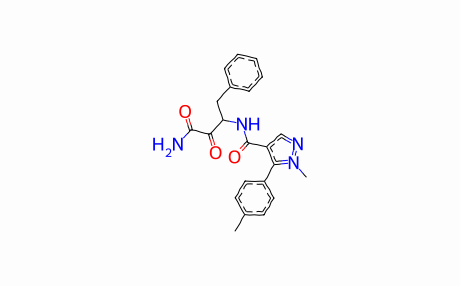 Cc1ccc(-c2c(C(=O)NC(Cc3ccccc3)C(=O)C(N)=O)cnn2C)cc1